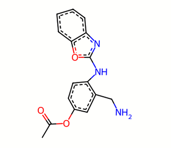 CC(=O)Oc1ccc(Nc2nc3ccccc3o2)c(CN)c1